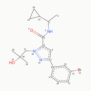 CC(NC(=O)c1cc(-c2cccc(Br)c2)nn1CC(C)(C)O)C1CC1